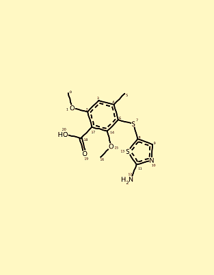 COc1cc(C)c(Sc2cnc(N)s2)c(OC)c1C(=O)O